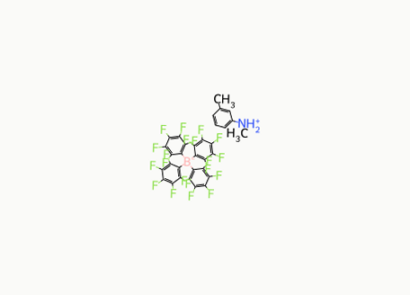 C[NH2+]c1cccc(C)c1.Fc1c(F)c(F)c([B-](c2c(F)c(F)c(F)c(F)c2F)(c2c(F)c(F)c(F)c(F)c2F)c2c(F)c(F)c(F)c(F)c2F)c(F)c1F